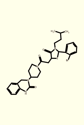 CC(C)CCN1C(=O)C(CC(=O)N2CCC(N3Cc4ccccc4NC3=O)CC2)SC1c1ccccc1Br